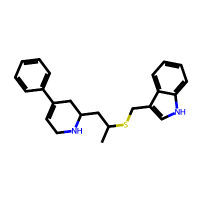 CC(CC1CC(c2ccccc2)=CCN1)SCc1c[nH]c2ccccc12